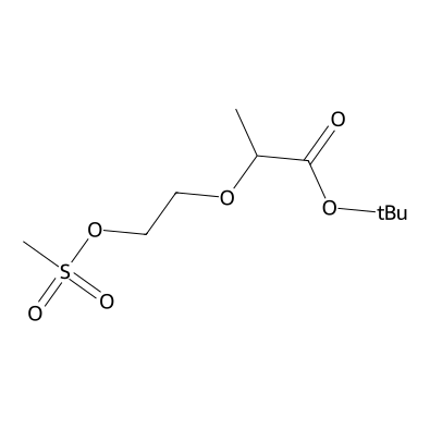 CC(OCCOS(C)(=O)=O)C(=O)OC(C)(C)C